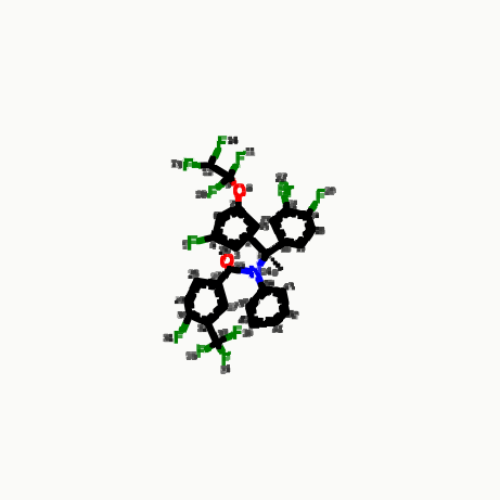 C[C@](c1cc(F)cc(OC(F)(F)C(F)F)c1)(c1ccc(F)c(Br)c1)N(C(=O)c1ccc(F)c(C(F)(F)F)c1)c1ccccc1